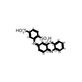 O=S(=O)(O)c1ccc(S(=O)(=O)O)c(N=c2ccc3nc4ccccc4sc-3c2)c1